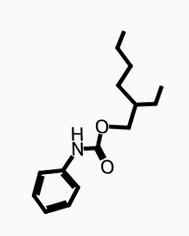 CCCCC(CC)COC(=O)Nc1ccccc1